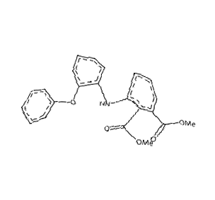 COC(=O)c1cccc(Nc2ccccc2Oc2ccccc2)c1C(=O)OC